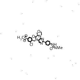 CNC(=O)Nc1ccc(-c2ncc3c(n2)N2CCOCC2C(=O)N3Cc2ccc(S(C)(=O)=O)cc2Cl)cc1